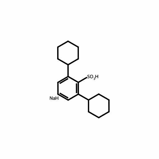 O=S(=O)(O)c1c(C2CCCCC2)cccc1C1CCCCC1.[NaH]